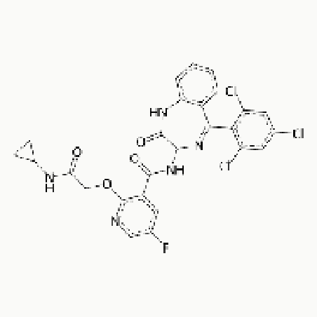 O=C(COc1ncc(F)cc1C(=O)NC1N=C(c2c(Cl)cc(Cl)cc2Cl)c2ccccc2NC1=O)NC1CC1